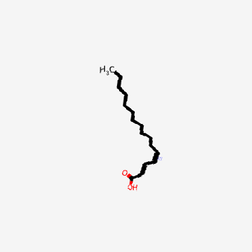 CCCCCCCCCCC/C=C\C=CC(=O)O